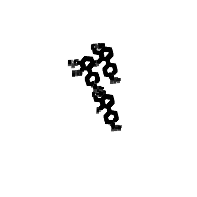 CCCN1CCC(c2cccc(C(F)(F)F)c2O)CC1.CCCN1CCC(c2cccc(CC=O)c2Cl)CC1.CCCN1CCC(c2cccc(CC=O)c2F)CC1